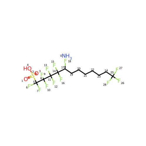 N.O=S(=O)(O)C(F)(F)C(F)(F)C(F)(F)C(F)(F)C(F)CCCCCCC(F)(F)F